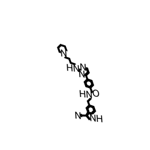 N#Cc1c[nH]c2ccc(CCNC(=O)c3ccc(-c4ccnc(NCCCCN5CCCCC5)n4)cc3)cc12